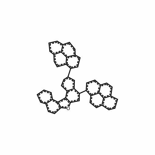 c1ccc2c(c1)ccc1oc3cc(-c4ccc5ccc6cccc7ccc4c5c67)c4cc(-c5ccc6ccc7cccc8ccc5c6c78)ccc4c3c12